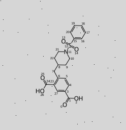 O=C(O)c1ccc(CC2CCN(S(=O)(=O)c3ccccc3)CC2)c(C(=O)O)c1